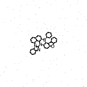 c1ccc(B2c3c(ccc4oc5ccccc5c34)-n3c4c2ccc2cccc(c24)n2c4ccccc4nc32)cc1